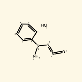 Cl.NN(N=S=O)c1ccccc1